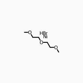 Br.COCCOCCOC.[Ni]